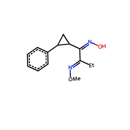 CCC(=NOC)C(=NO)C1CC1c1ccccc1